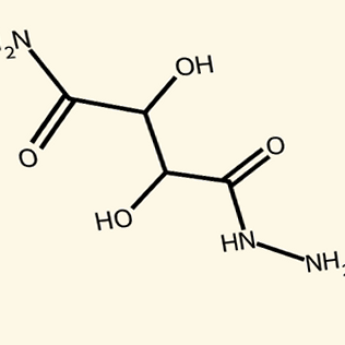 NNC(=O)C(O)C(O)C(N)=O